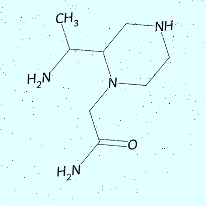 CC(N)C1CNCCN1CC(N)=O